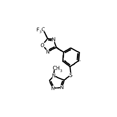 Cn1cnnc1Sc1[c]ccc(-c2noc(C(F)(F)F)n2)c1